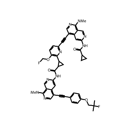 CNc1ncc(C#Cc2ccc(OCF)c(C3CC3C(=O)Nc3cc4c(C#Cc5ccc(OCC(C)(C)F)cc5)cnc(NC)c4cn3)n2)c2cc(NC(=O)C3CC3)ncc12